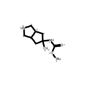 CC1(NC(=O)OC(C)(C)C)CC2CNCC2C1